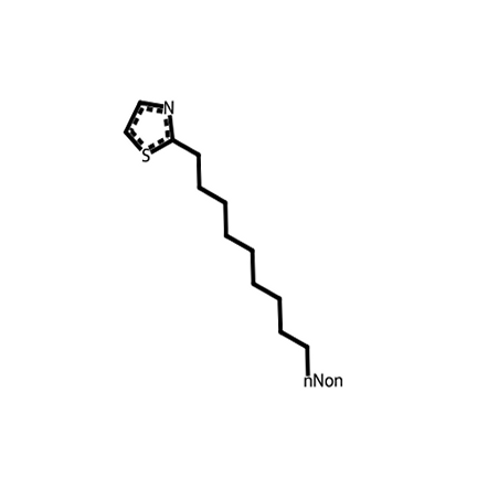 CCCCCCCCCCCCCCCCCCc1nccs1